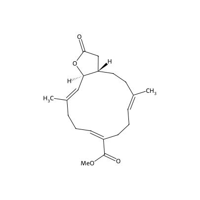 COC(=O)/C1=C\CC/C(C)=C/[C@H]2OC(=O)C[C@@H]2CC/C(C)=C/CC1